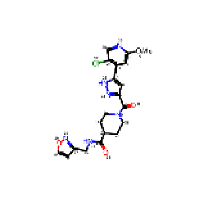 COc1cc(-c2cc(C(=O)N3CCC(C(=O)NCc4ccon4)CC3)n[nH]2)c(Cl)cn1